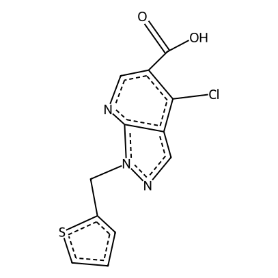 O=C(O)c1cnc2c(cnn2Cc2cccs2)c1Cl